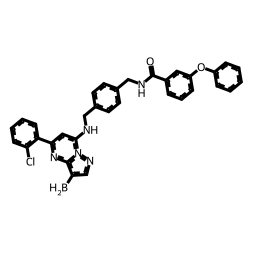 Bc1cnn2c(NCc3ccc(CNC(=O)c4cccc(Oc5ccccc5)c4)cc3)cc(-c3ccccc3Cl)nc12